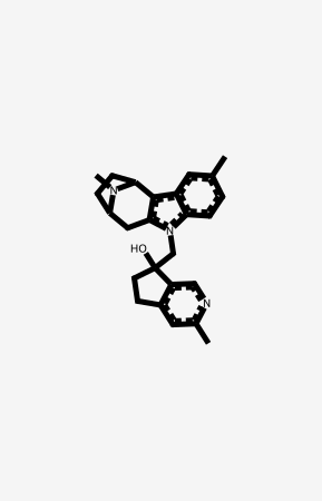 Cc1ccc2c(c1)c1c(n2CC2(O)CCc3cc(C)ncc32)CC2CCC1N2C